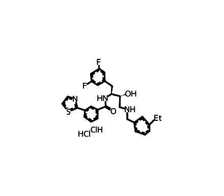 CCc1cccc(CNC[C@@H](O)[C@H](Cc2cc(F)cc(F)c2)NC(=O)c2cccc(-c3nccs3)c2)c1.Cl.Cl